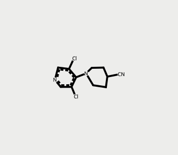 N#CC1CCN(c2c(Cl)cncc2Cl)CC1